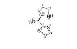 OC(c1nccs1)[C@H]1CCCN1